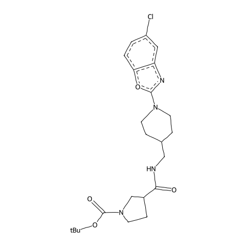 CC(C)(C)OC(=O)N1CCC(C(=O)NCC2CCN(c3nc4cc(Cl)ccc4o3)CC2)C1